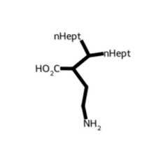 CCCCCCCC(CCCCCCC)C(CCN)C(=O)O